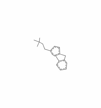 CC(C)(C)CCc1ccc2c(c1)-c1ccccc1C2